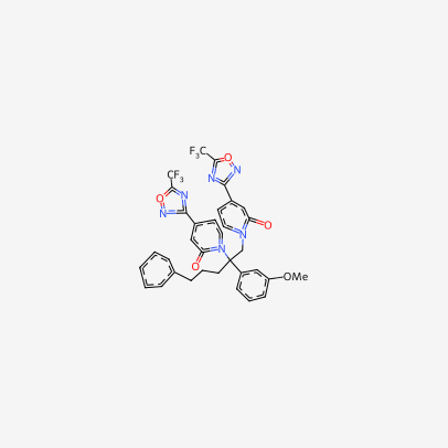 COc1cccc(C(CCCc2ccccc2)(Cn2ccc(-c3noc(C(F)(F)F)n3)cc2=O)n2ccc(-c3noc(C(F)(F)F)n3)cc2=O)c1